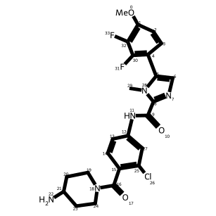 COc1ccc(-c2cnc(C(=O)Nc3ccc(C(=O)N4CCC(N)CC4)c(Cl)c3)n2C)c(F)c1F